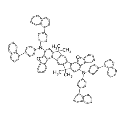 CC1(C)c2cc3c(cc2-c2c1cc(N(c1ccc(-c4cccc5ccccc45)cc1)c1ccc(-c4cccc5ccccc45)cc1)c1c2oc2ccccc21)C(C)(C)c1cc(N(c2ccc(-c4cccc5ccccc45)cc2)c2ccc(-c4cccc5ccccc45)cc2)c2oc4ccccc4c2c1-3